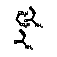 C=CC(N)=O.C=CC(N)=O.O=C(O)CC(=O)O